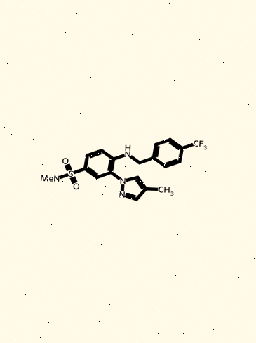 CNS(=O)(=O)c1ccc(NCc2ccc(C(F)(F)F)cc2)c(-n2cc(C)cn2)c1